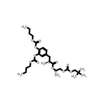 CCCCOC(=O)Oc1ccc(C[C@H](N)C(=O)O[C@@H](C)COC(=O)OCC(C)(C)C)cc1OC(=O)OCCCC